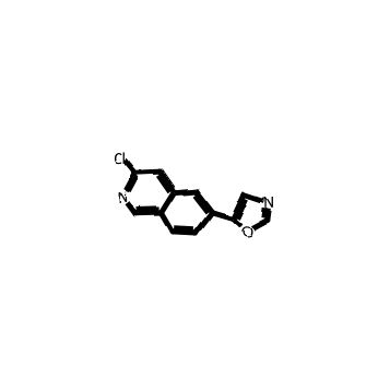 Clc1cc2cc(-c3cnco3)ccc2cn1